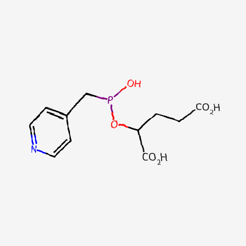 O=C(O)CCC(OP(O)Cc1ccncc1)C(=O)O